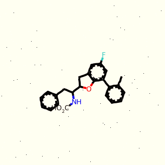 Cc1ccccc1-c1cc(F)cc2c1OC(C(Cc1ccccc1)NC(=O)O)C2